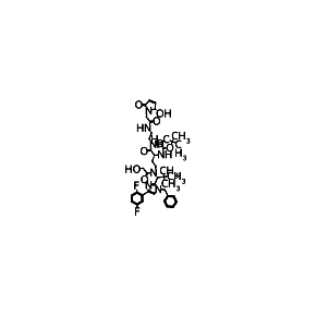 CC(C)(C)OC(=O)N[C@@H](CCN(C(=O)CO)[C@@H](c1nc(-c2cc(F)ccc2F)cn1Cc1ccccc1)C(C)(C)C)C(=O)NCCNC(=O)CN1C(=O)C=CC1O